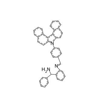 NC(c1ccccc1)c1ccccc1/N=C/c1ccc(-n2c3ccc4ccccc4c3c3c4ccccc4ccc32)cc1